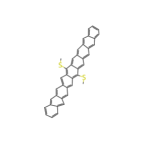 CSc1c2cc3cc4cc5ccccc5cc4cc3cc2c(SC)c2cc3cc4cc5ccccc5cc4cc3cc12